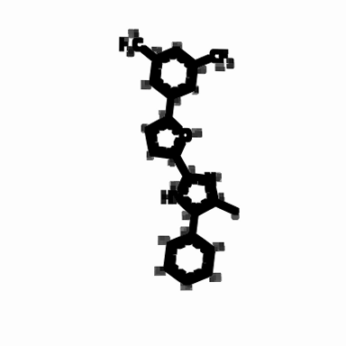 Cc1nc(-c2ccc(-c3cc(C(F)(F)F)cc(C(F)(F)F)c3)o2)[nH]c1-c1ccccc1